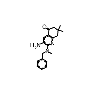 CN(Cc1ccccc1)c1nc2c(cc1N)C(=O)CC(C)(C)C2